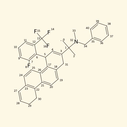 [CH2]C(C)(C1=CC(c2c(F)cccc2C(F)(F)F)c2c(ccc3c4c(ccc23)C=CCC4)C1)N(C)Cc1ccccc1